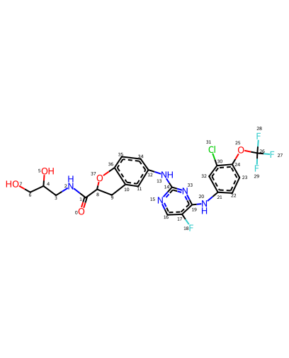 O=C(NCC(O)CO)C1Cc2cc(Nc3ncc(F)c(Nc4ccc(OC(F)(F)F)c(Cl)c4)n3)ccc2O1